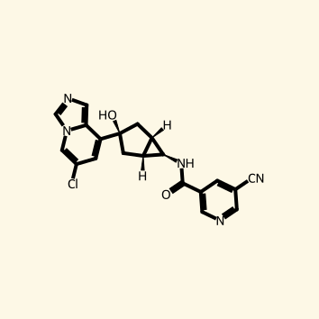 N#Cc1cncc(C(=O)N[C@H]2[C@@H]3C[C@](O)(c4cc(Cl)cn5cncc45)C[C@@H]32)c1